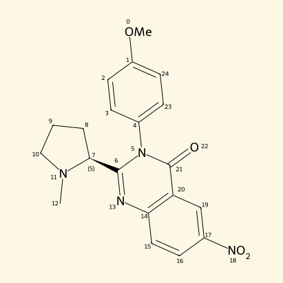 COc1ccc(-n2c([C@@H]3CCCN3C)nc3ccc([N+](=O)[O-])cc3c2=O)cc1